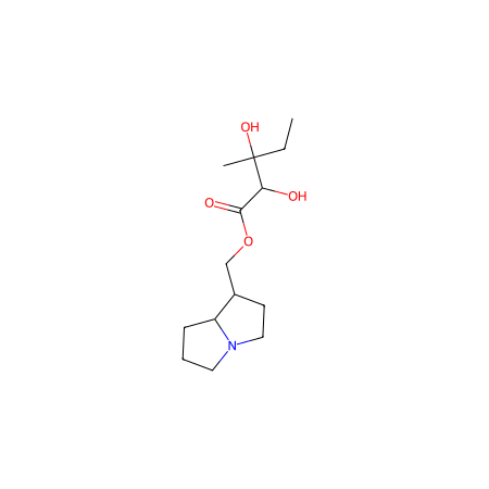 CCC(C)(O)C(O)C(=O)OCC1CCN2CCCC12